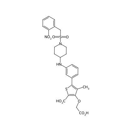 Cc1c(-c2cccc(NC3CCN(S(=O)(=O)Cc4ccccc4[N+](=O)[O-])CC3)c2)sc(C(=O)O)c1OCC(=O)O